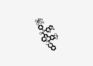 C[C@@H]1Cc2ccccc2CN1C(=O)c1cc2c(cc1-c1cc(C(=O)N(c3ccc(OP(=O)(O)O)cc3)c3cnc4c(ccn4C)c3)c3ccccn13)OCO2